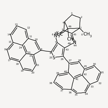 CC12CCC(c3nc4c(-c5cc6cccc7ccc8cccc5c8c76)sc(-c5cc6cccc7ccc8cccc5c8c76)c4nc31)C2(C)C